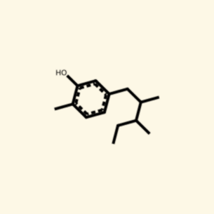 CCC(C)C(C)Cc1ccc(C)c(O)c1